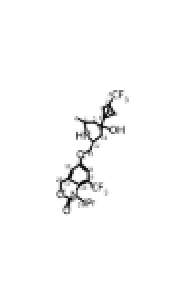 CC1CC(O)(C23CC(C(F)(F)F)(C2)C3)CC(COc2cc3c(c(C(F)(F)F)c2)N(C(C)C)C(=O)OC3)N1